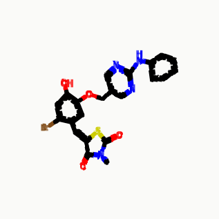 CN1C(=O)S/C(=C\c2cc(OCc3cnc(Nc4ccccc4)nc3)c(O)cc2Br)C1=O